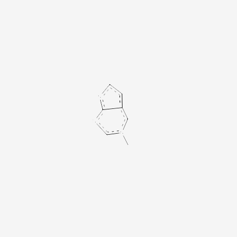 CCOC(=O)n1cnc2nccc-2c1